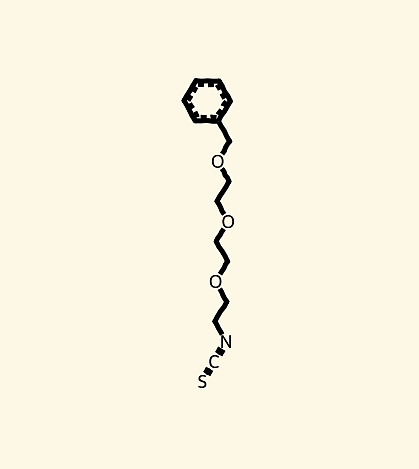 S=C=NCCOCCOCCOCc1ccccc1